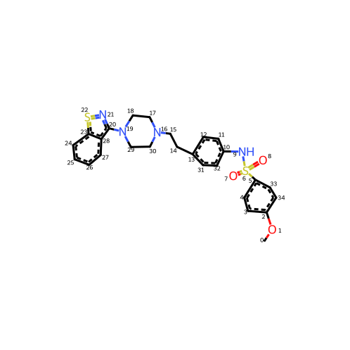 COc1ccc(S(=O)(=O)Nc2ccc(CCN3CCN(c4nsc5ccccc45)CC3)cc2)cc1